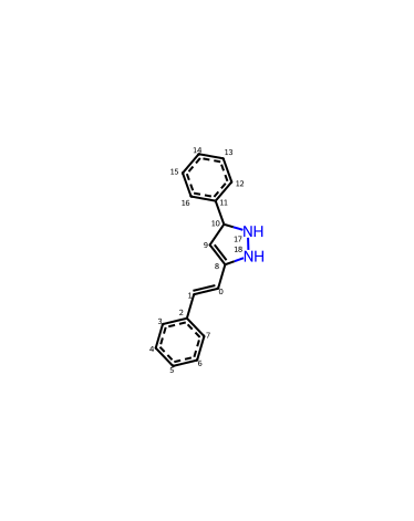 C(=Cc1ccccc1)C1=CC(c2ccccc2)NN1